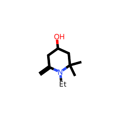 C=C1CC(O)CC(C)(C)N1CC